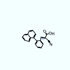 N#C/C(=C\c1ccccc1-c1cccc2ccccc12)C(=O)O